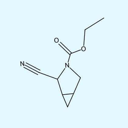 CCOC(=O)N1CC2CC2C1C#N